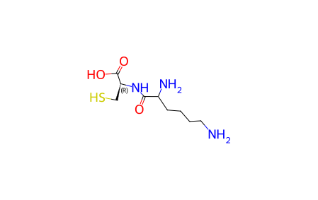 NCCCCC(N)C(=O)N[C@@H](CS)C(=O)O